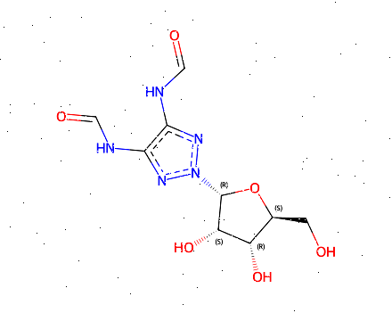 O=CNc1nn([C@@H]2O[C@@H](CO)[C@H](O)[C@@H]2O)nc1NC=O